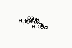 CC(=O)c1ccccc1N[C@@H](Cc1ccc(OCCc2nc(-c3ccccc3)oc2C)cc1)C(=O)O